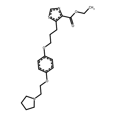 CCOC(=O)c1ncsc1CCCOc1ccc(OCCN2CCCC2)cc1